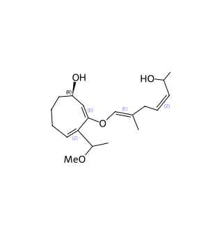 COC(C)C1=C/CCC[C@@H](O)/C=C\1O/C=C(\C)C/C=C\C(C)O